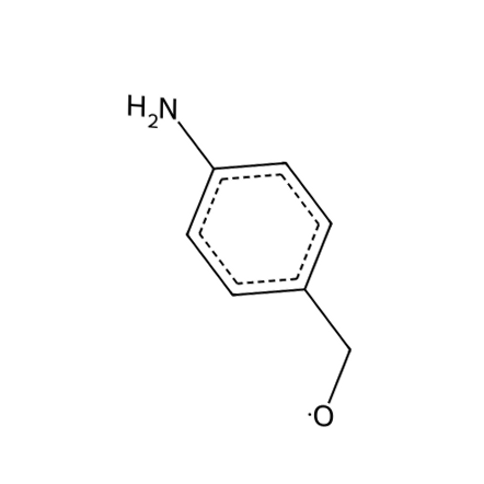 Nc1ccc(C[O])cc1